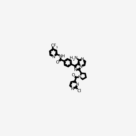 Nc1nccn2c(C3CCCN3C(=O)c3ccnc(Cl)n3)nc(-c3ccc(C(=O)Nc4cc(C(F)(F)F)ccn4)cc3)c12